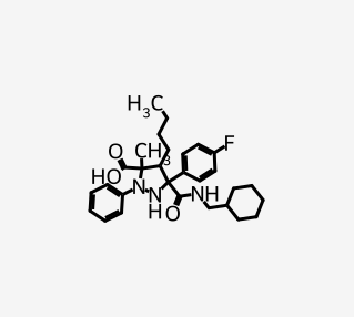 CCCCC1C(C(=O)NCC2CCCCC2)(c2ccc(F)cc2)NN(c2ccccc2)C1(C)C(=O)O